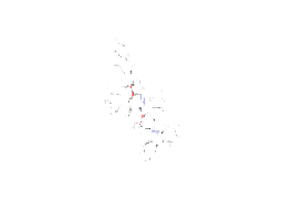 c1cc(-c2ccccc2N(c2ccc(-c3ccc4ccccc4c3)cc2)c2ccccc2-c2cccc3ccccc23)cc(-n2c3ccccc3c3ccccc32)c1